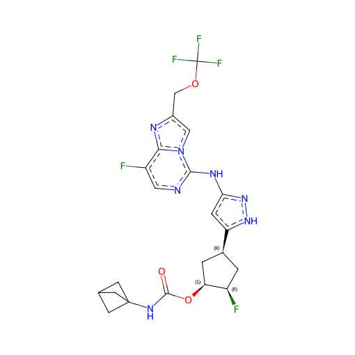 O=C(NC12CC(C1)C2)O[C@H]1C[C@@H](c2cc(Nc3ncc(F)c4nc(COC(F)(F)F)cn34)n[nH]2)C[C@H]1F